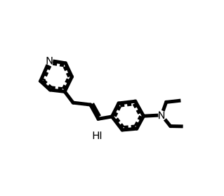 CCN(CC)c1ccc(/C=C/Cc2ccncc2)cc1.I